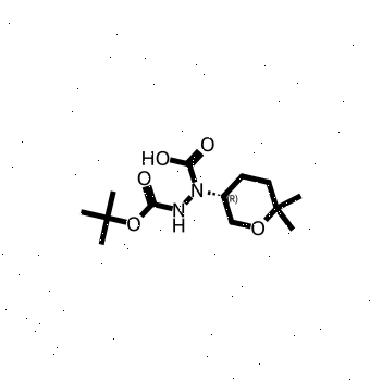 CC(C)(C)OC(=O)NN(C(=O)O)[C@@H]1CCC(C)(C)OC1